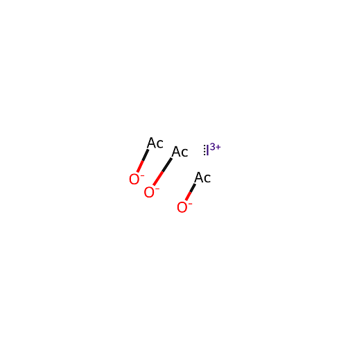 CC(=O)[O-].CC(=O)[O-].CC(=O)[O-].[I+3]